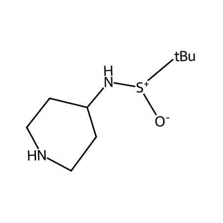 CC(C)(C)[S+]([O-])NC1CCNCC1